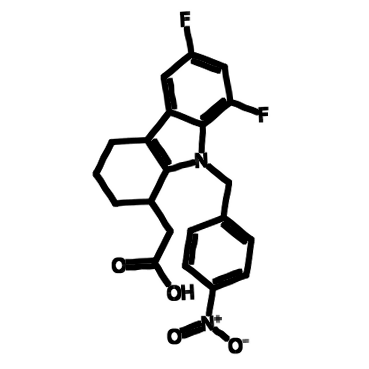 O=C(O)CC1CCCc2c1n(Cc1ccc([N+](=O)[O-])cc1)c1c(F)cc(F)cc21